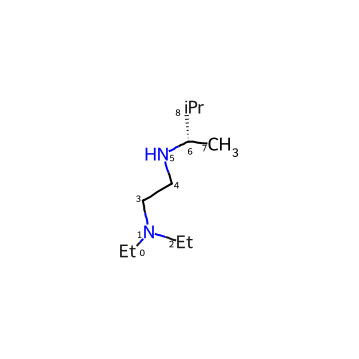 CCN(CC)CCN[C@@H](C)C(C)C